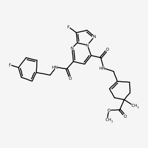 COC(=O)C1(C)CC=C(CNC(=O)c2cc(C(=O)NCc3ccc(F)cc3)nc3c(F)cnn23)CC1